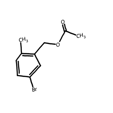 CC(=O)OCc1cc(Br)ccc1C